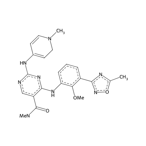 CNC(=O)c1cnc(NC2=CCN(C)C=C2)nc1Nc1cccc(-c2noc(C)n2)c1OC